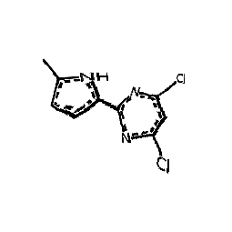 Cc1ccc(-c2nc(Cl)cc(Cl)n2)[nH]1